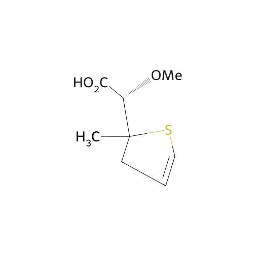 CO[C@@H](C(=O)O)C1(C)CC=CS1